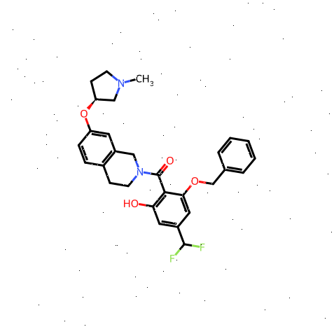 CN1CC[C@H](Oc2ccc3c(c2)CN(C(=O)c2c(O)cc(C(F)F)cc2OCc2ccccc2)CC3)C1